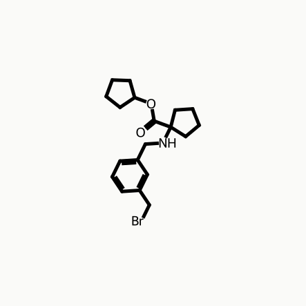 O=C(OC1CCCC1)C1(NCc2cccc(CBr)c2)CCCC1